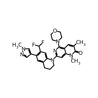 Cc1cc2c(N3CCOCC3)nc(N3CCCc4cc(-c5cnn(C)c5)c(C(F)F)cc43)cc2n(C)c1=O